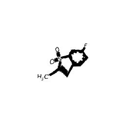 CC1=Cc2ccc(F)cc2S1(=O)=O